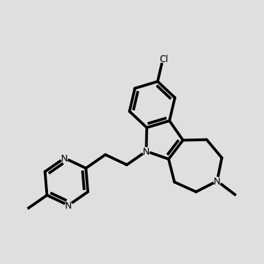 Cc1cnc(CCn2c3c(c4cc(Cl)ccc42)CCN(C)CC3)cn1